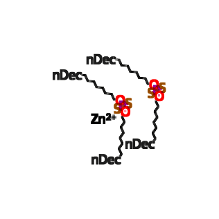 CCCCCCCCCCCCCCCCCCOP(=S)([S-])OCCCCCCCCCCCCCCCCCC.CCCCCCCCCCCCCCCCCCOP(=S)([S-])OCCCCCCCCCCCCCCCCCC.[Zn+2]